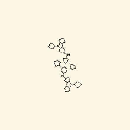 c1ccc(-c2cc(Nc3ccc4c(c3)c3ccccc3n4-c3ccccc3)ccc2-c2ccc(Nc3ccc4c(c3)c3ccccc3n4-c3ccccc3)cc2-c2ccccc2)cc1